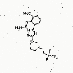 COc1cccc2c1nc(N)n1nc([C@@H]3CCCN(CCC(F)(F)C(F)(F)F)C3)nc21